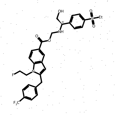 CCS(=O)(=O)c1ccc([C@H](CO)NCOC(=O)c2ccc3c(c2)cc(Cc2ccc(C(F)(F)F)cc2)n3CCF)cc1